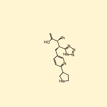 C=C(O)[C@@H](C(C)C)[C@H](Cc1ccc(C2CCNC2)nc1)c1nnn[nH]1